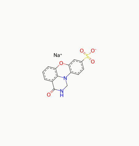 O=C1NCN2c3ccc(S(=O)(=O)[O-])cc3Oc3cccc1c32.[Na+]